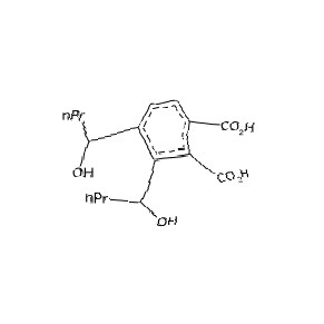 CCCC(O)c1ccc(C(=O)O)c(C(=O)O)c1C(O)CCC